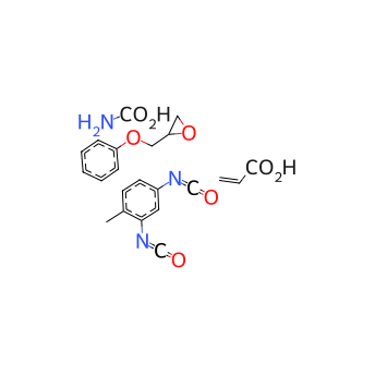 C=CC(=O)O.Cc1ccc(N=C=O)cc1N=C=O.NC(=O)O.c1ccc(OCC2CO2)cc1